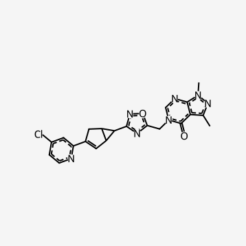 Cc1nn(C)c2ncn(Cc3nc(C4C5C=C(c6cc(Cl)ccn6)CC54)no3)c(=O)c12